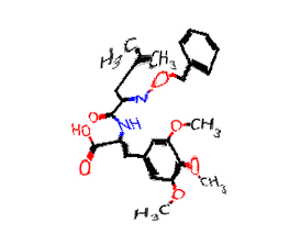 COc1cc(CC(NC(=O)C(CC(C)C)=NOCc2ccccc2)C(=O)O)cc(OC)c1OC